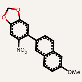 COc1ccc2cc(-c3cc4c(cc3[N+](=O)[O-])OCO4)ccc2c1